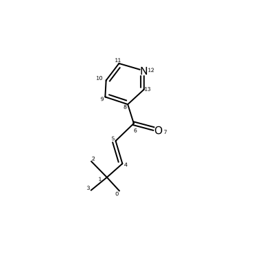 CC(C)(C)/C=C/C(=O)c1cccnc1